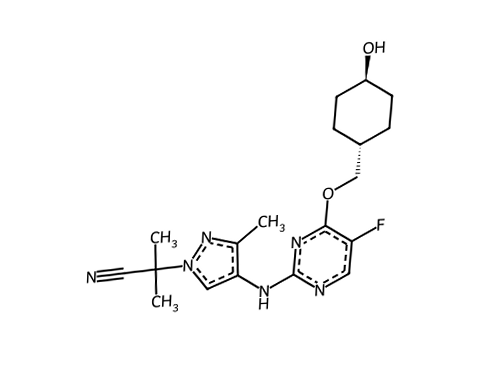 Cc1nn(C(C)(C)C#N)cc1Nc1ncc(F)c(OC[C@H]2CC[C@H](O)CC2)n1